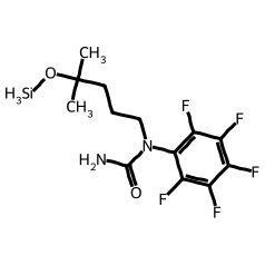 CC(C)(CCCN(C(N)=O)c1c(F)c(F)c(F)c(F)c1F)O[SiH3]